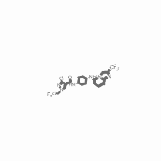 O=C(N[C@H]1CC[C@@H](Nc2cccc3nc(C(F)(F)F)cn23)CC1)c1cn(CC(F)(F)F)nc1Cl